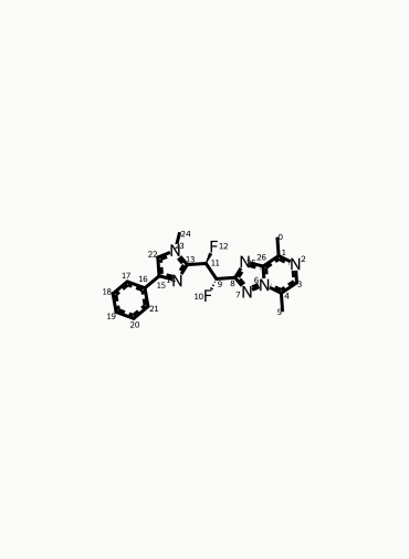 Cc1ncc(C)n2nc([C@H](F)[C@H](F)c3nc(-c4ccccc4)cn3C)nc12